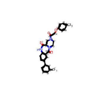 O=C1Nc2ccc(-c3cccc(C(F)(F)F)c3)cc2C(=O)N2CCN(C(=O)COc3ccc(C(F)(F)F)cc3)CC12